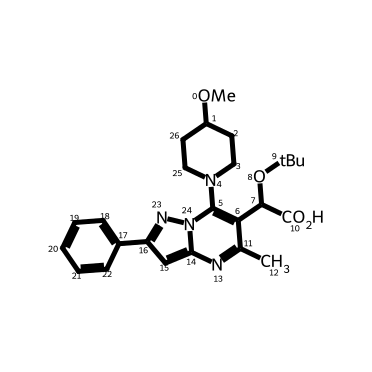 COC1CCN(c2c(C(OC(C)(C)C)C(=O)O)c(C)nc3cc(-c4ccccc4)nn23)CC1